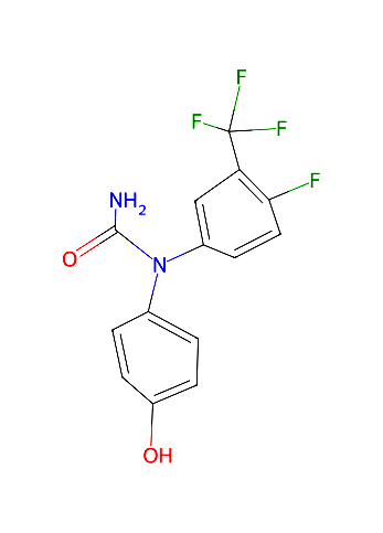 NC(=O)N(c1ccc(O)cc1)c1ccc(F)c(C(F)(F)F)c1